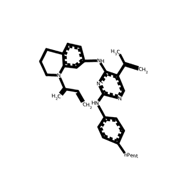 C=CC(=C)N1CCCc2ccc(Nc3nc(Nc4ccc(CCCCC)cc4)ncc3C(=C)C)cc21